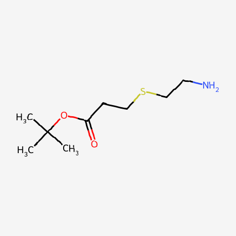 CC(C)(C)OC(=O)CCSCCN